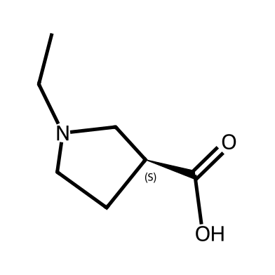 CCN1CC[C@H](C(=O)O)C1